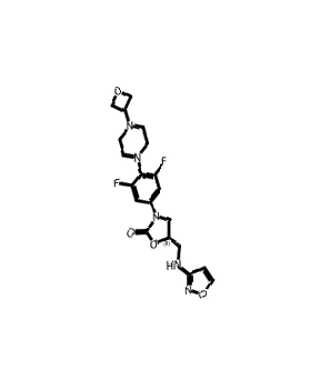 O=C1O[C@H](CNc2ccon2)CN1c1cc(F)c(N2CCN(C3COC3)CC2)c(F)c1